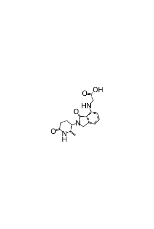 C=C1NC(=O)CCC1N1Cc2cccc(NCC(=O)O)c2C1=O